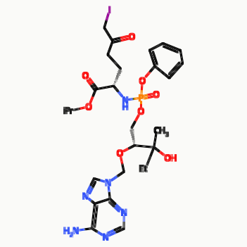 CCC(C)(O)[C@@H](COP(=O)(N[C@@H](CCC(=O)CI)C(=O)OC(C)C)Oc1ccccc1)OCn1cnc2c(N)ncnc21